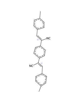 [C-]#[N+]/C(=C\c1ccc(C)cc1)c1ccc(/C(C#N)=C/c2ccc(C)cc2)cc1